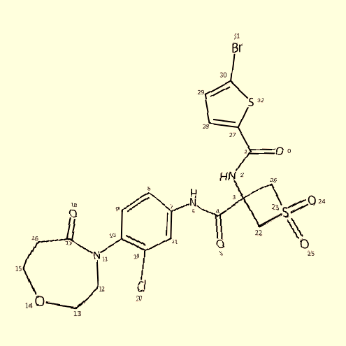 O=C(NC1(C(=O)Nc2ccc(N3CCOCCC3=O)c(Cl)c2)CS(=O)(=O)C1)c1ccc(Br)s1